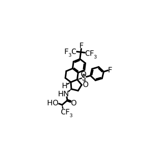 O=C(N[C@@H]1CC[C@@]2(S(=O)(=O)c3ccc(F)cc3)c3ccc(C(F)(C(F)(F)F)C(F)(F)F)cc3CC[C@@H]12)[C@H](O)C(F)(F)F